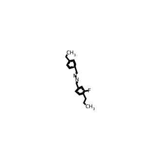 CCCc1ccc(/C=N/N=C/c2ccc(CC)cc2)cc1F